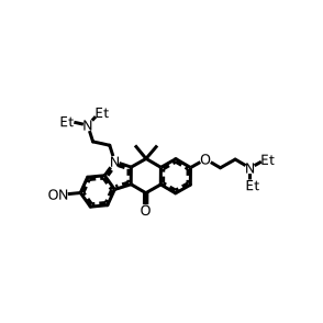 CCN(CC)CCOc1ccc2c(c1)C(C)(C)c1c(c3ccc(N=O)cc3n1CCN(CC)CC)C2=O